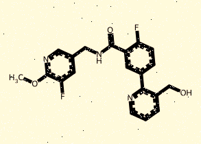 COc1ncc(CNC(=O)c2cc(-c3ncccc3CO)ccc2F)cc1F